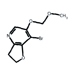 COCOc1cnc2c(c1Br)OCC2